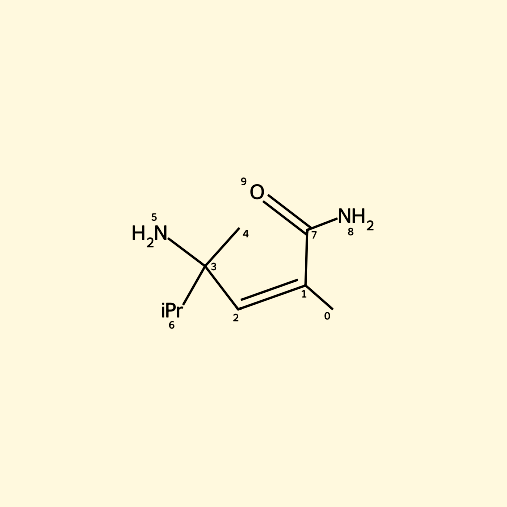 CC(=CC(C)(N)C(C)C)C(N)=O